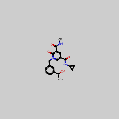 CNC(=O)c1cc(C(=O)NC2CC2)cn(Cc2cccc([C@H](C)O)c2)c1=O